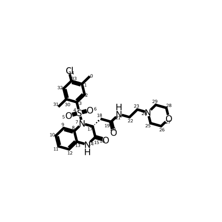 Cc1cc(S(=O)(=O)N2c3ccccc3NC(=O)[C@H]2CC(=O)NCCN2CCOCC2)c(C)cc1Cl